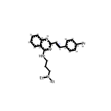 CCN(CC)CCCNc1nc(/C=C/c2ccc(C(C)C)cc2)nc2ccccc12